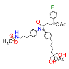 CC(=O)O[C@@H](CCC1C(=O)N(c2ccc(CCCNS(C)(=O)=O)cc2)[C@@H]1c1ccc(CCCCC(CO)(CO)OC(C)=O)cc1)c1ccc(F)cc1